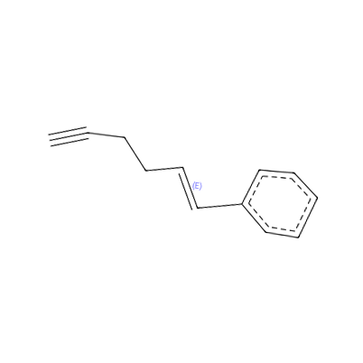 C#CCC/C=C/c1ccccc1